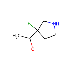 CC(O)C1(F)CCNC1